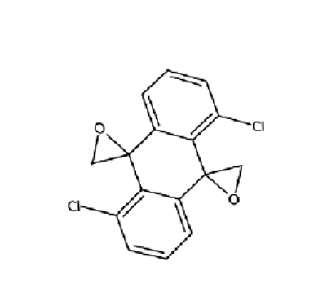 Clc1cccc2c1C1(CO1)c1cccc(Cl)c1C21CO1